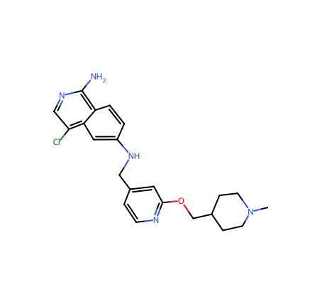 CN1CCC(COc2cc(CNc3ccc4c(N)ncc(Cl)c4c3)ccn2)CC1